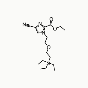 CCOC(=O)c1nc(C#N)cn1CCOCC[Si](CC)(CC)CC